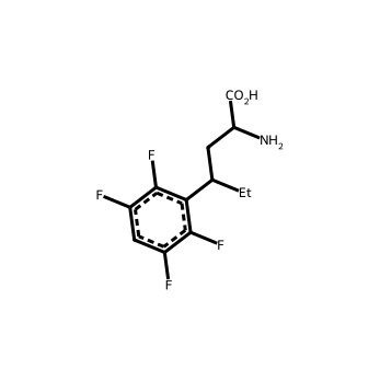 CCC(CC(N)C(=O)O)c1c(F)c(F)cc(F)c1F